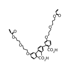 C=CC(=O)OCCCOCCCOc1ccc(C(=O)O)c(-c2ccc(-c3cc(OCCCOCCCOC(=O)C=C)ccc3C(=O)O)c(C)c2)c1